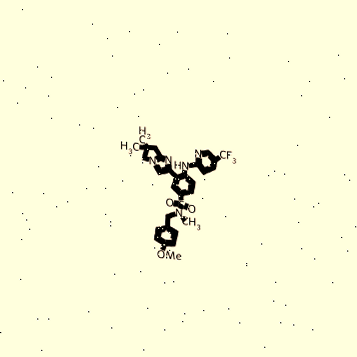 COc1ccc(CN(C)S(=O)(=O)c2ccc(Nc3ccc(C(F)(F)F)cn3)c(-c3cn4c(n3)CC(C)(C)C4)c2)cc1